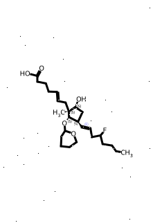 CCCCC(F)C/C=C/[C@@H]1C[C@H](O)[C@](C)(CC=CCCCC(=O)O)[C@H]1OC1CCCCO1